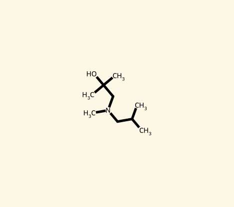 CC(C)CN(C)CC(C)(C)O